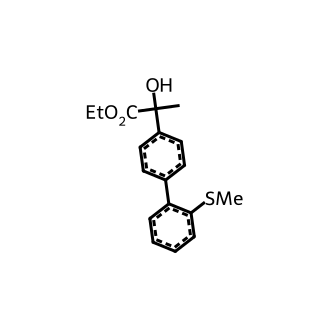 CCOC(=O)C(C)(O)c1ccc(-c2ccccc2SC)cc1